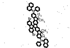 CC1(C)c2cc(N(c3ccccc3)c3cccc4ccccc34)ccc2-c2cc3c(cc21)-c1cc2c(cc1C31c3cc(Br)ccc3-c3ccc(Br)cc31)-c1ccc(N(c3ccccc3)c3cccc4ccccc34)cc1C2(C)C